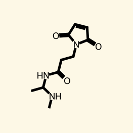 CNC(C)NC(=O)CCN1C(=O)C=CC1=O